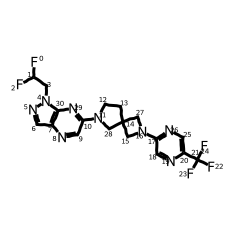 FC(F)Cn1ncc2ncc(N3CCC4(CN(c5cnc(C(F)(F)F)cn5)C4)C3)nc21